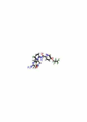 CC1(C)C(N)=N[C@](C)(c2nc(NC(=O)c3ccc(OCC(F)(F)C(F)F)cn3)ccc2F)[C@H]2CCN=[S@]21=O